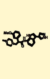 COc1cccc(C(CN2CCN(C)CC2)C(=O)Nc2cccc3c(-c4cn[nH]c4)c[nH]c23)c1